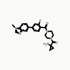 Cn1cnc2cc(-c3ccc(C(=O)N4CCN(C(=O)C5(N)CC5)CC4)c(F)c3)ccc21